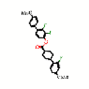 COc1ccc(-c2ccc(OC(=O)C3CCC(C4=CCC(OC)C=C4F)CC3)c(F)c2F)cc1